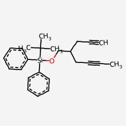 C#CCC(CC#CC)CO[Si](c1ccccc1)(c1ccccc1)C(C)(C)C